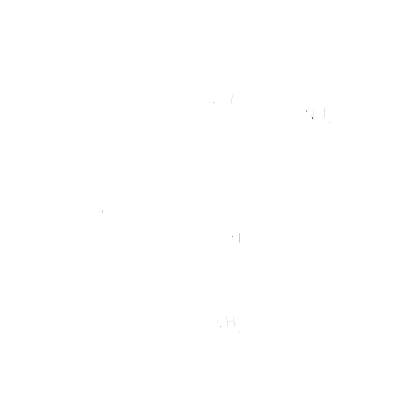 C=CCC(CC=C)C(C)=CCCC(C)=CCN